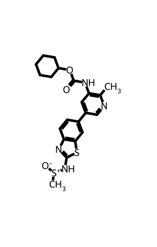 Cc1ncc(-c2ccc3nc(N[S+](C)[O-])sc3c2)cc1NC(=O)OC1CCCCC1